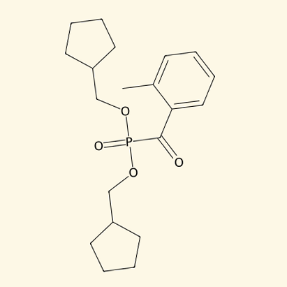 Cc1ccccc1C(=O)P(=O)(OCC1CCCC1)OCC1CCCC1